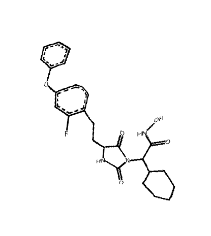 O=C(NO)C(C1CCCCC1)N1C(=O)NC(CCc2ccc(Oc3ccccc3)cc2F)C1=O